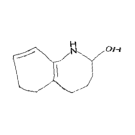 OC1CCC2=C(C=CCC2)N1